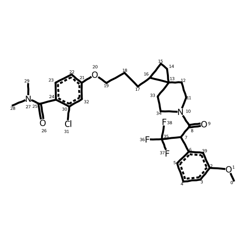 COc1cccc(C(C(=O)N2CCC3(CCC3CCCOc3ccc(C(=O)N(C)C)c(Cl)c3)CC2)C(F)(F)F)c1